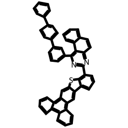 c1ccc(-c2ccc(-c3cccc(-c4nc(-c5cccc6c5sc5cc7c8ccccc8c8ccccc8c7cc56)nc5ccc6ccccc6c45)c3)cc2)cc1